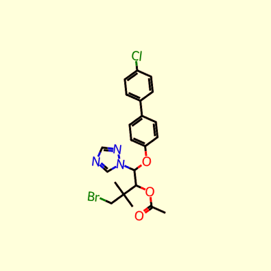 CC(=O)OC(C(Oc1ccc(-c2ccc(Cl)cc2)cc1)n1cncn1)C(C)(C)CBr